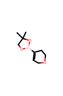 CC1(C)COB(C2=CCOCC2)O1